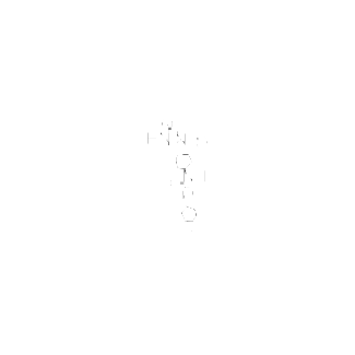 O=C1CN(C2COC2)[C@@H](c2ccc(NC(=O)OCc3ccc(Cl)cc3)cc2)CN1